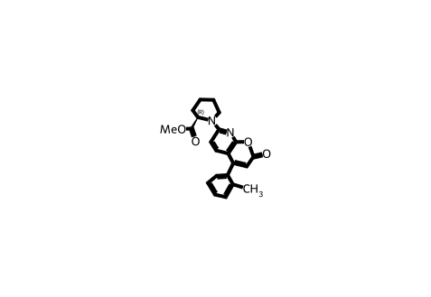 COC(=O)[C@H]1CCCCN1c1ccc2c(-c3ccccc3C)cc(=O)oc2n1